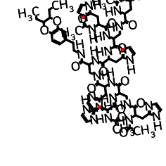 CCC1Oc2ccc(CCNC(=O)C(CNC(=O)C(Cc3ncc[nH]3)NC(=O)C(CNC(=O)C(Cc3ncc[nH]3)NC(C)=O)NC(=O)C(Cc3ncc[nH]3)NC(C)=O)NC(=O)C(Cc3ncc[nH]3)NC(=O)C(CNC(=O)C(Cc3ncc[nH]3)NC(C)=O)NC(=O)C(Cc3ncc[nH]3)NC(C)=O)cc2OC1CC